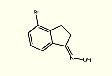 ON=C1CCc2c(Br)cccc21